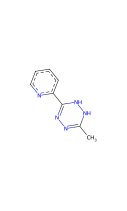 CC1=NN=C(c2ccccn2)NN1